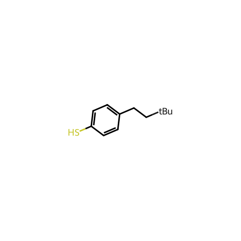 CC(C)(C)CCc1ccc(S)cc1